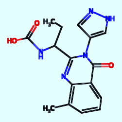 CCC(NC(=O)O)c1nc2c(C)cccc2c(=O)n1-c1cn[nH]c1